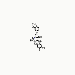 COc1cccc(OC/C(=N/O)C(=N)C(=NO)Nc2ccc(F)c(Cl)c2)c1